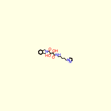 O=C(NCCCCCn1cccn1)[C@H](O)[C@@H](O)C(=O)N1Cc2ccccc2C1